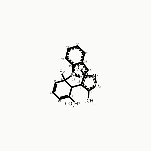 Cc1noc(C)c1C1C(C(=O)O)=CC=CC1(F)n1ncc2ccccc21